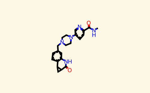 CNC(=O)c1ccc(N2CCN(Cc3ccc4c(c3)NC(=O)C3CC43)CC2)cn1